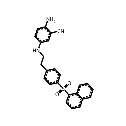 N#Cc1cc(NCCc2ccc(S(=O)(=O)c3cccc4ccccc34)cc2)ccc1N